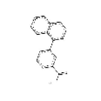 COC(=O)c1cccc(-c2cccc3ccccc23)c1